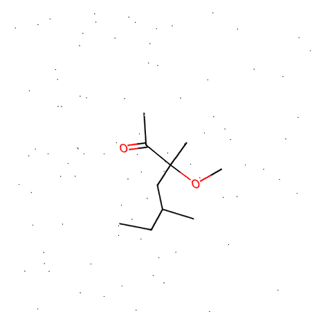 CCC(C)CC(C)(OC)C(C)=O